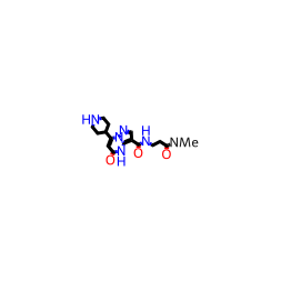 CNC(=O)CCNC(=O)c1cnn2c(C3CCNCC3)cc(=O)[nH]c12